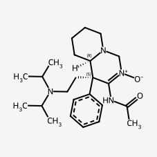 CC(=O)NC1=[N+]([O-])CN2CCCC[C@@H]2[C@]1(CCN(C(C)C)C(C)C)c1ccccc1